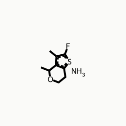 Cc1c(F)sc2c1C(C)OCC2.N